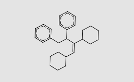 C(=C(C1CCCCC1)C(Cc1ccccc1)c1ccccc1)C1CCCCC1